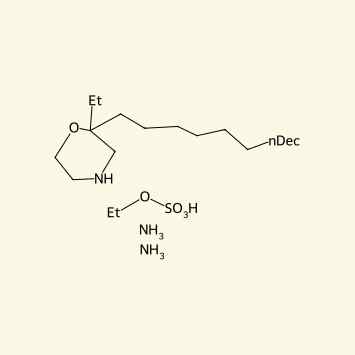 CCCCCCCCCCCCCCCCC1(CC)CNCCO1.CCOS(=O)(=O)O.N.N